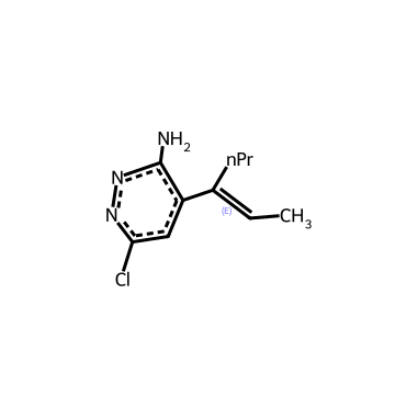 C/C=C(\CCC)c1cc(Cl)nnc1N